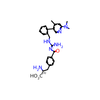 Cc1cc(N(C)C)ncc1-c1ccccc1CN/C(N)=N/C(=O)c1ccc(C[C@H](N)C(=O)O)cc1